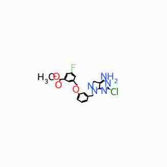 COC(=O)c1cc(F)cc(COc2cccc(Cn3ncc4c(N)nc(Cl)nc43)c2)c1